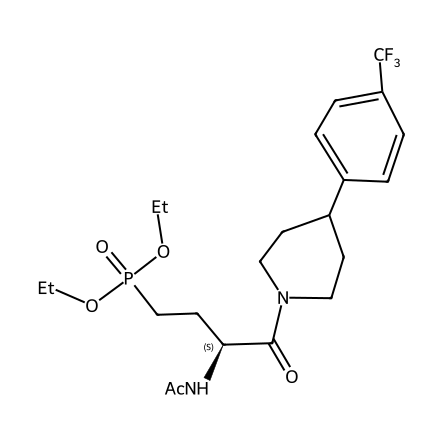 CCOP(=O)(CC[C@H](NC(C)=O)C(=O)N1CCC(c2ccc(C(F)(F)F)cc2)CC1)OCC